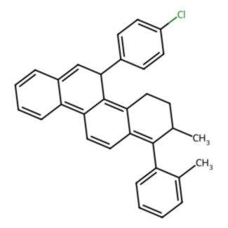 Cc1ccccc1C1=c2ccc3c(c2CCC1C)C(c1ccc(Cl)cc1)C=c1ccccc1=3